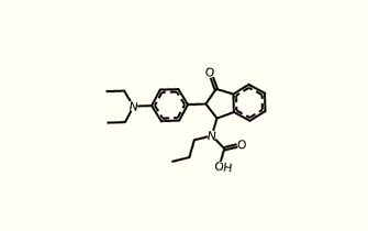 CCCN(C(=O)O)C1c2ccccc2C(=O)C1c1ccc(N(CC)CC)cc1